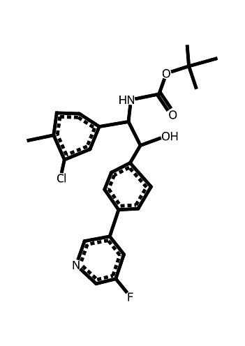 Cc1ccc(C(NC(=O)OC(C)(C)C)C(O)c2ccc(-c3cncc(F)c3)cc2)cc1Cl